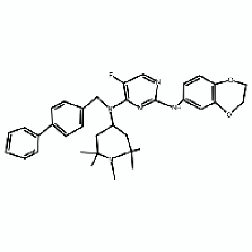 CN1C(C)(C)CC(N(Cc2ccc(-c3ccccc3)cc2)c2nc(Nc3ccc4c(c3)OCCO4)ncc2F)CC1(C)C